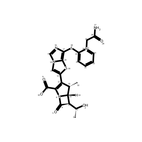 C[C@@H](O)[C@H]1C(=O)N2C(C(=O)[O-])=C(c3cn4cnc(Sc5cccc[n+]5CC(N)=O)c4s3)[C@H](C)[C@H]12